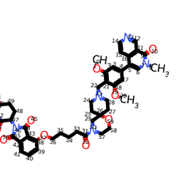 COc1cc(-c2cn(C)c(=O)c3cnccc23)cc(OC)c1CN1CCC2(CC1)CN(C(=O)CCCCOc1cccc3c1C(=O)N(C1CCC(=O)NC1=O)C3=O)CCO2